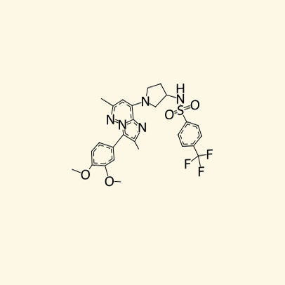 COc1ccc(-c2c(C)nc3c(N4CCC(NS(=O)(=O)c5ccc(C(F)(F)F)cc5)C4)cc(C)nn23)cc1OC